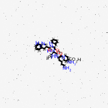 CC(C)C[C@@H](NC(=O)[C@@H](Cc1ccccc1)NC(=O)[C@@H](CN)Cc1ccccc1)C(=O)N[C@H](CCCCN)C(=O)N1CCC(N)(C(=O)O)CC1